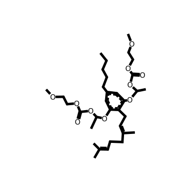 CCCCCc1cc(OC(C)OC(=O)OCCOC)c(C/C=C(\C)CCC=C(C)C)c(OC(C)OC(=O)OCCOC)c1